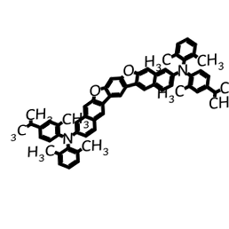 Cc1cc(C(C)C)ccc1N(c1ccc2cc3c(cc2c1)oc1cc2oc4cc5cc(N(c6ccc(C(C)C)cc6C)c6c(C)cccc6C)ccc5cc4c2cc13)c1c(C)cccc1C